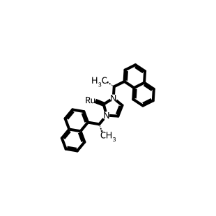 C[C@H](c1cccc2ccccc12)n1ccn([C@H](C)c2cccc3ccccc23)[c]1=[Ru]